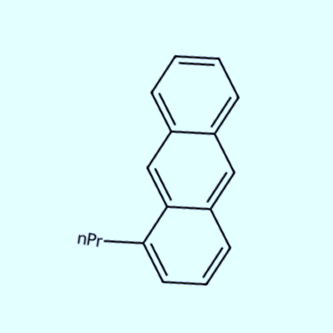 CCCc1cccc2cc3ccccc3cc12